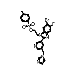 Cc1ccc(S(=O)(=O)OCCn2c(-c3cncc(Cn4ccnc4)c3)nc3cc(F)c(Br)cc32)cc1